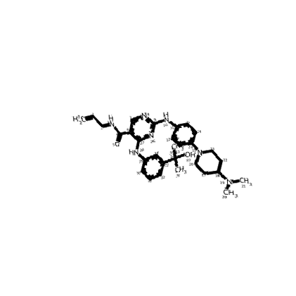 C=CCNC(=O)c1cnc(Nc2ccc(N3CCC(N(C)C)CC3)cc2)nc1Nc1cccc(C(C)(C)O)c1